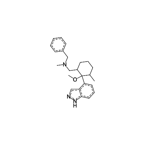 COC1(c2cccc3[nH]ncc23)C(C)CCCC1CN(C)Cc1ccccc1